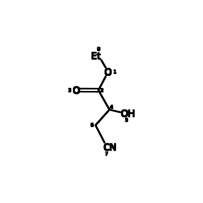 CCOC(=O)C(O)CC#N